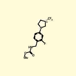 CC(C)(C)OC(=O)NCc1ccc(N2CC[C@H](C(F)(F)F)C2)cc1F